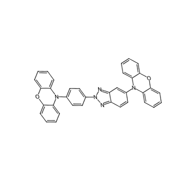 c1ccc2c(c1)Oc1ccccc1N2c1ccc(-n2nc3ccc(N4c5ccccc5Oc5ccccc54)cc3n2)cc1